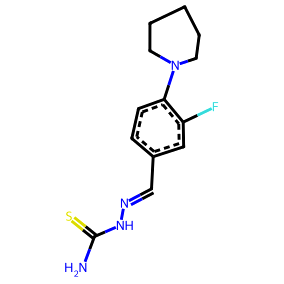 NC(=S)NN=Cc1ccc(N2CCCCC2)c(F)c1